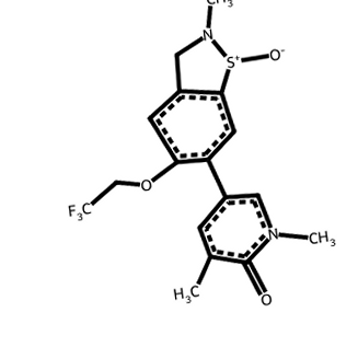 Cc1cc(-c2cc3c(cc2OCC(F)(F)F)CN(C)[S+]3[O-])cn(C)c1=O